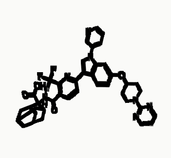 O=C(NC1(C(=O)O)C2CC3CC(C2)CC1C3)c1ccc(-c2cn(-c3cccnc3)c3cc(OC4CCN(c5ncccn5)CC4)ccc23)nc1C(F)(F)F